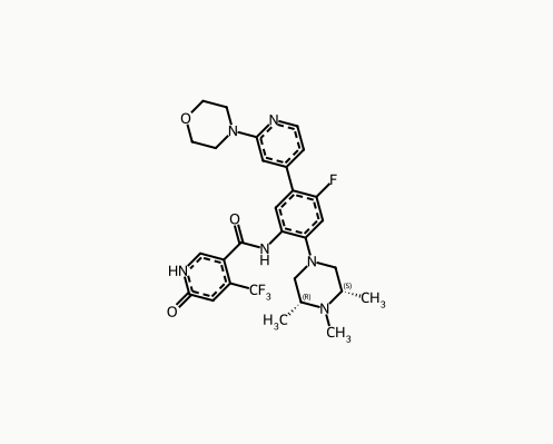 C[C@@H]1CN(c2cc(F)c(-c3ccnc(N4CCOCC4)c3)cc2NC(=O)c2c[nH]c(=O)cc2C(F)(F)F)C[C@H](C)N1C